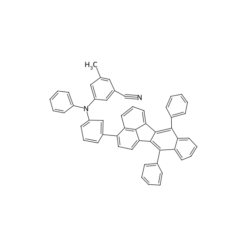 Cc1cc(C#N)cc(N(c2ccccc2)c2cccc(-c3ccc4c5c(cccc35)-c3c-4c(-c4ccccc4)c4ccccc4c3-c3ccccc3)c2)c1